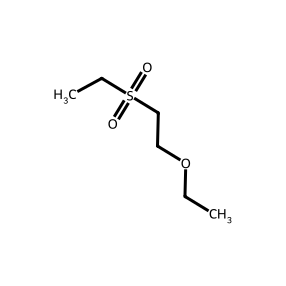 CCOCCS(=O)(=O)CC